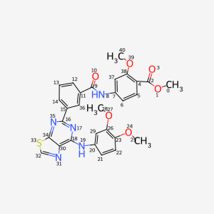 COC(=O)c1ccc(NC(=O)c2cccc(-c3nc(Nc4ccc(OC)c(OC)c4)c4ncsc4n3)c2)cc1OC